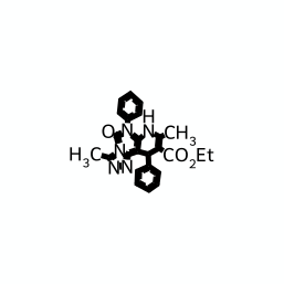 CCOC(=O)C1=C(C)Nc2c(c3nnc(C)n3c(=O)n2-c2ccccc2)C1c1ccccc1